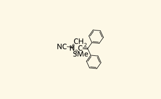 C=C(C#N)SC.C=C(c1ccccc1)c1ccccc1